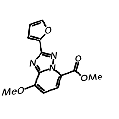 COC(=O)c1ccc(OC)c2nc(-c3ccco3)nn12